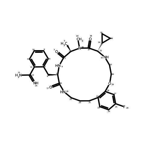 C[C@@H]1C(=O)N[C@H](Cc2ccccc2C(=N)N)C(=O)NCCCc2ccc(F)cc2OCCN[C@@H](C2CC2)C(=O)N1C